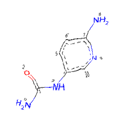 NC(=O)Nc1ccc(N)nc1